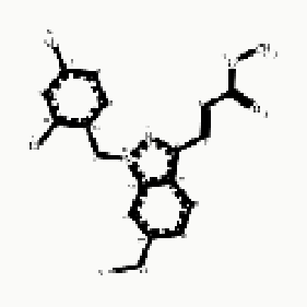 COC(=O)C=Cc1nn(Cc2ccc(Cl)cc2Cl)c2cc(CF)ccc12